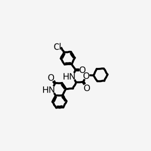 O=C(NC(Cc1cc(=O)[nH]c2ccccc12)C(=O)OC1CCCCC1)c1ccc(Cl)cc1